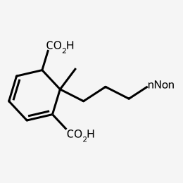 CCCCCCCCCCCCC1(C)C(C(=O)O)=CC=CC1C(=O)O